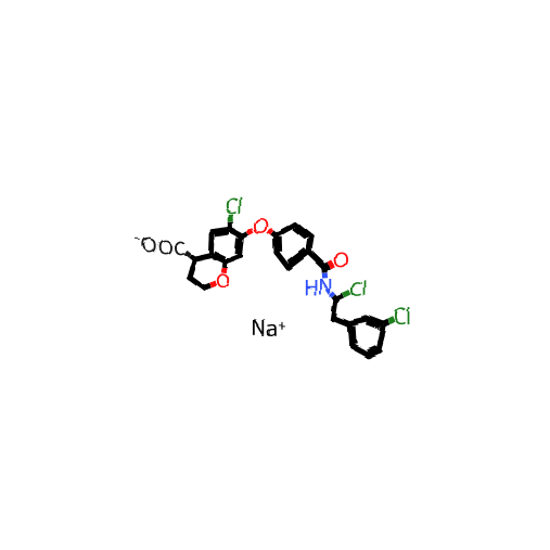 O=C(NC(Cl)Cc1cccc(Cl)c1)c1ccc(Oc2cc3c(cc2Cl)C(C(=O)[O-])CCO3)cc1.[Na+]